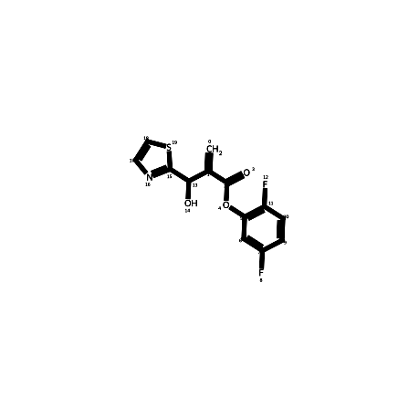 C=C(C(=O)Oc1cc(F)ccc1F)C(O)c1nccs1